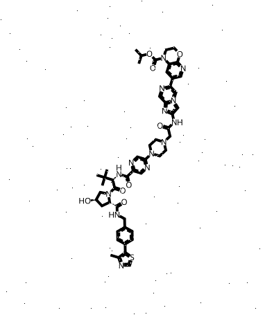 Cc1ncsc1-c1ccc(CNC(=O)[C@@H]2C[C@@H](O)CN2C(=O)[C@@H](NC(=O)c2cnc(N3CCN(CC(=O)Nc4cn5cc(-c6cnc7c(c6)N(C(=O)OC(C)C)CCO7)ncc5n4)CC3)cn2)C(C)(C)C)cc1